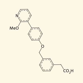 COc1ncccc1-c1ccc(OCc2cccc(CC(=O)O)c2)cc1